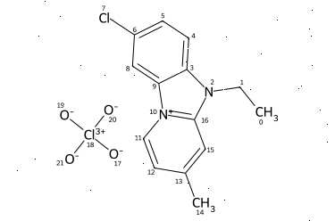 CCn1c2ccc(Cl)cc2[n+]2ccc(C)cc12.[O-][Cl+3]([O-])([O-])[O-]